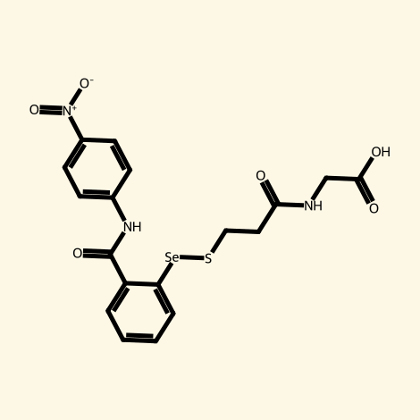 O=C(O)CNC(=O)CCS[Se]c1ccccc1C(=O)Nc1ccc([N+](=O)[O-])cc1